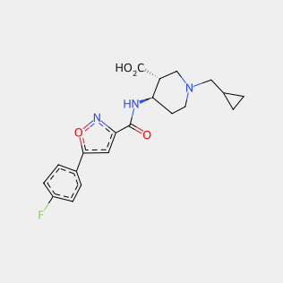 O=C(N[C@@H]1CCN(CC2CC2)C[C@H]1C(=O)O)c1cc(-c2ccc(F)cc2)on1